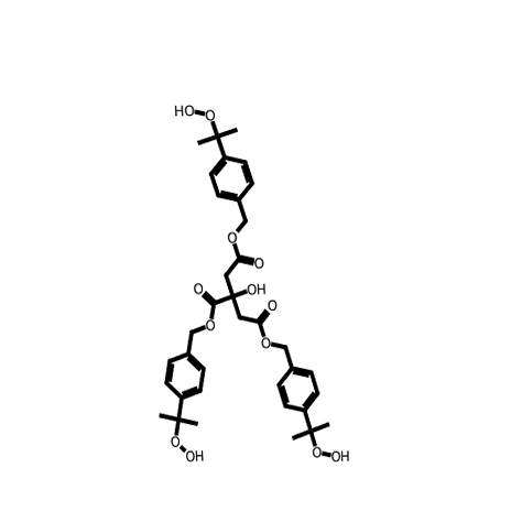 CC(C)(OO)c1ccc(COC(=O)CC(O)(CC(=O)OCc2ccc(C(C)(C)OO)cc2)C(=O)OCc2ccc(C(C)(C)OO)cc2)cc1